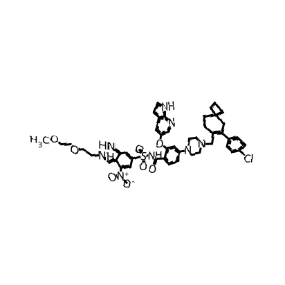 COCCOCCN/C=C1\C(=N)C=C(S(=O)(=O)NC(=O)c2ccc(N3CCN(CC4=C(c5ccc(Cl)cc5)CC5(CCC5)CC4)CC3)cc2Oc2cnc3[nH]ccc3c2)C=C1[N+](=O)[O-]